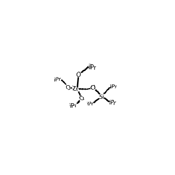 CC(C)[O][Zr]([O]C(C)C)([O]C(C)C)[O][Si](C(C)C)(C(C)C)C(C)C